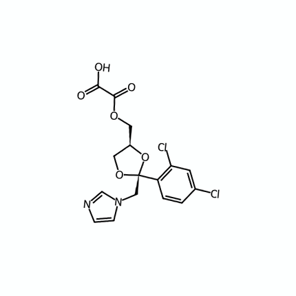 O=C(O)C(=O)OC[C@@H]1CO[C@@](Cn2ccnc2)(c2ccc(Cl)cc2Cl)O1